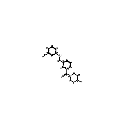 CC1CCN(C(=O)c2cccc(CSc3cccc(F)c3)n2)CC1